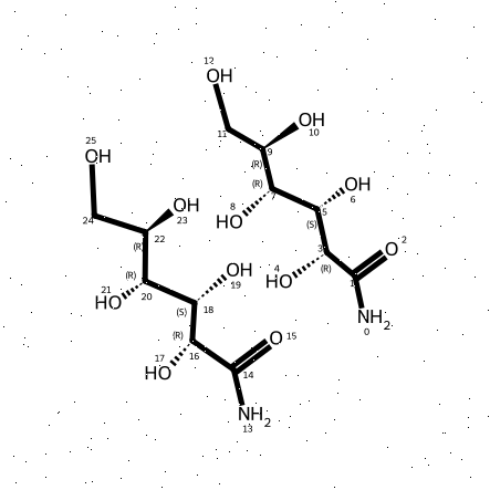 NC(=O)[C@H](O)[C@@H](O)[C@H](O)[C@H](O)CO.NC(=O)[C@H](O)[C@@H](O)[C@H](O)[C@H](O)CO